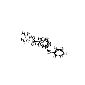 COP(NC(C)C(=O)OC(C)C)Oc1ccccc1